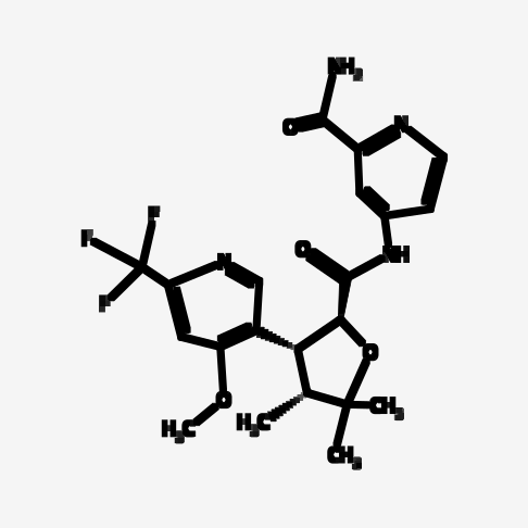 COc1cc(C(F)(F)F)ncc1[C@@H]1[C@@H](C(=O)Nc2ccnc(C(N)=O)c2)OC(C)(C)[C@@H]1C